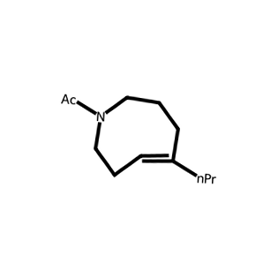 CCC/C1=C\CCN(C(C)=O)CCC1